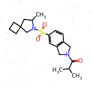 CC(C)C(=O)N1Cc2ccc(S(=O)(=O)N3CC4(CCC4)CC3C)cc2C1